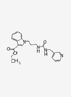 CCOC(=O)c1cn(CCCNC(=O)NCc2cccnc2)c2ccccc12